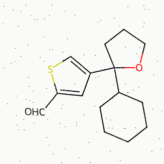 O=Cc1cc(C2(C3CCCCC3)CCCO2)cs1